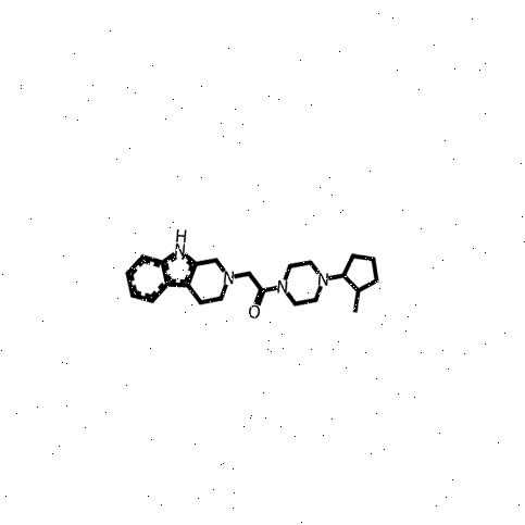 CC1CCCC1N1CCN(C(=O)CN2CCc3c([nH]c4ccccc34)C2)CC1